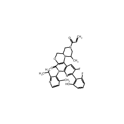 C=CC(=O)N1CC(C)N2c3c(c(=O)n(-c4c(C)ccnc4C(C)C)c4nc(-c5c(O)cccc5F)c(F)cc34)OCC2C1